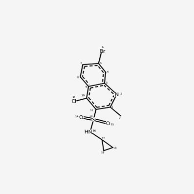 Cc1nc2cc(Br)ccc2c(Cl)c1S(=O)(=O)NC1CC1